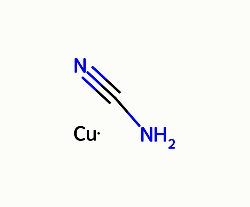 N#CN.[Cu]